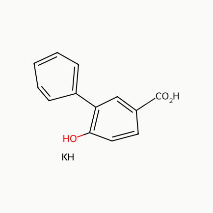 O=C(O)c1ccc(O)c(-c2ccccc2)c1.[KH]